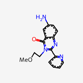 COCCn1c(-c2ccccn2)nc2ccc(N)cc2c1=O